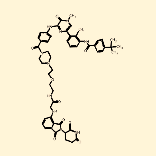 Cc1c(NC(=O)c2ccc(C(C)(C)C)cc2)cccc1-c1cn(C)c(=O)c(Nc2ccc(C(=O)N3CCN(CCOCCNC(=O)CNc4cccc5c4C(=O)N(C4CCC(=O)NC4=O)C5=O)CC3)cc2)n1